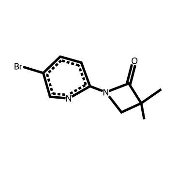 CC1(C)CN(c2ccc(Br)cn2)C1=O